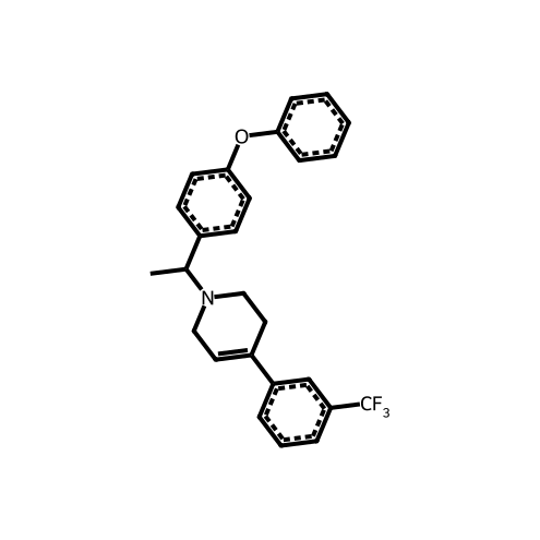 CC(c1ccc(Oc2ccccc2)cc1)N1CC=C(c2cccc(C(F)(F)F)c2)CC1